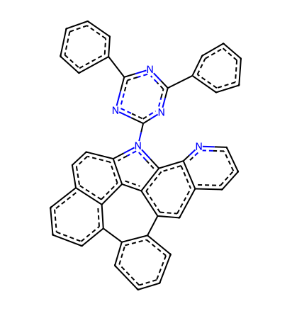 c1ccc(-c2nc(-c3ccccc3)nc(-n3c4ccc5cccc6c5c4c4c(cc5cccnc5c43)-c3ccccc3-6)n2)cc1